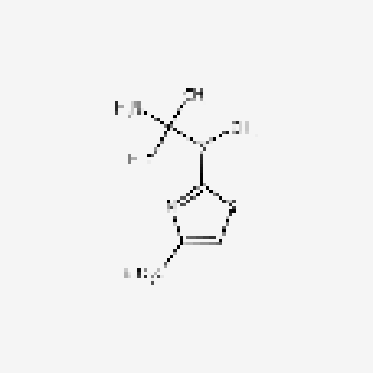 CCOC(=O)c1csc(N(C)C(C)(C)N)n1